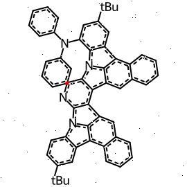 CC(C)(C)c1ccc2c(c1)c1c3ccccc3cc3c4c5c6cc7ccccc7c7c8cc(C(C)(C)C)cc(N(c9ccccc9)c9ccccc9)c8n(c5cnc4n2c31)c67